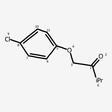 CC(C)C(=O)COc1ccc(Cl)cc1